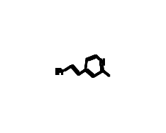 Cc1cc(/C=C/C(C)C)ccn1